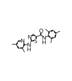 Cc1cnc(Nc2ncc(C(=O)Nc3c(C)cc(C)cc3C)s2)c(C)c1